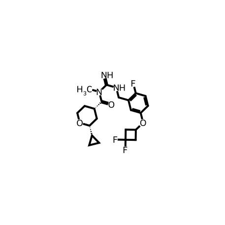 CN(C(=N)NCc1cc(OC2CC(F)(F)C2)ccc1F)C(=O)[C@H]1CCO[C@@H](C2CC2)C1